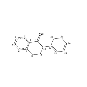 O=C1c2ccccc2CCC1C1=CC=CCC1